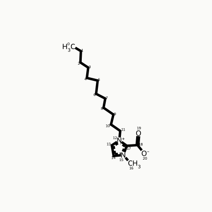 CCCCCCCCCCCC[n+]1ccn(C)c1C(=O)[O-]